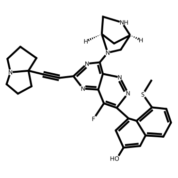 CSc1cccc2cc(O)cc(-c3nnc4c(N5C[C@H]6C[C@@H]5CN6)nc(C#CC56CCCN5CCC6)nc4c3F)c12